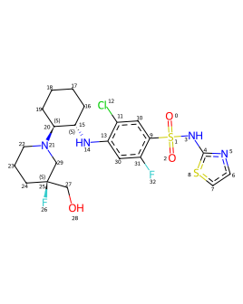 O=S(=O)(Nc1nccs1)c1cc(Cl)c(N[C@H]2CCCC[C@@H]2N2CCC[C@@](F)(CO)C2)cc1F